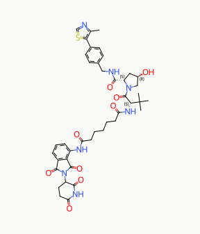 Cc1ncsc1-c1ccc(CNC(=O)[C@@H]2C[C@@H](O)CN2C(=O)[C@@H](NC(=O)CCCCCC(=O)Nc2cccc3c2C(=O)N(C2CCC(=O)NC2=O)C3=O)C(C)(C)C)cc1